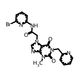 Cn1c(=O)n(Cc2ccccn2)c(=O)c2c1ncn2CC(=O)Nc1cccc(Br)n1